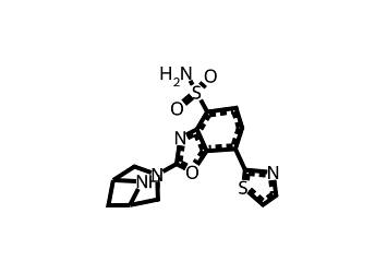 NS(=O)(=O)c1ccc(-c2nccs2)c2oc(N3CC4CC(C3)N4)nc12